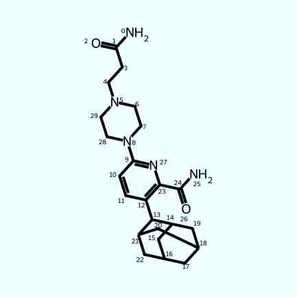 NC(=O)CCN1CCN(c2ccc(C3C4CC5CC(C4)CC3C5)c(C(N)=O)n2)CC1